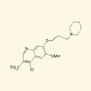 CCOC(=O)c1cnc2cc(OCCCN3CCCCC3)c(OC)cc2c1Cl